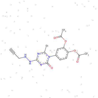 C#CCNNc1nc(CC)n(-c2ccc(OC(=O)C(F)(F)F)c(OC(=O)C(F)(F)F)c2)c(=O)n1